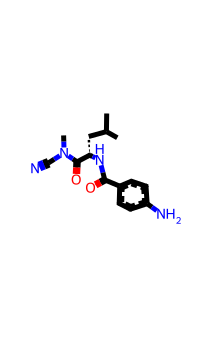 CC(C)C[C@H](NC(=O)c1ccc(N)cc1)C(=O)N(C)C#N